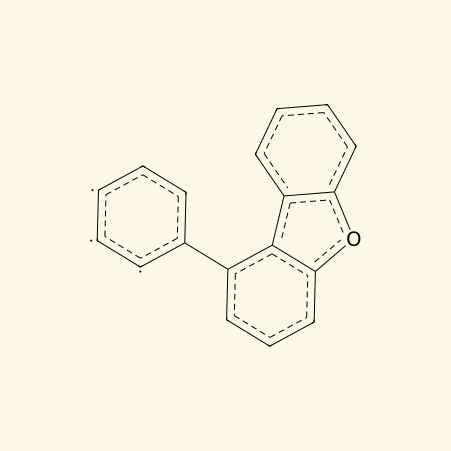 [c]1[c]ccc(-c2cccc3oc4ccccc4c23)[c]1